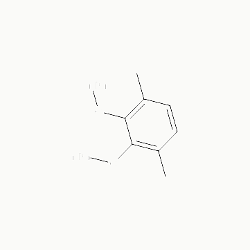 CCCCOc1c(C)ccc(C)c1OCCCC